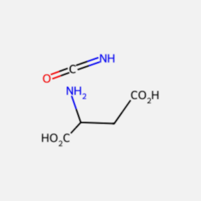 N=C=O.NC(CC(=O)O)C(=O)O